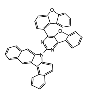 c1ccc2cc3c(cc2c1)c1c2ccccc2ccc1n3-c1nc(-c2cccc3oc4ccccc4c23)c2oc3ccccc3c2n1